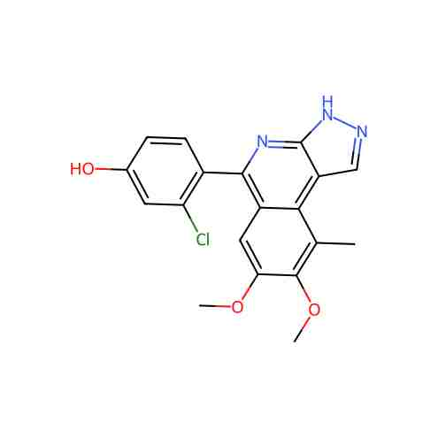 COc1cc2c(-c3ccc(O)cc3Cl)nc3[nH]ncc3c2c(C)c1OC